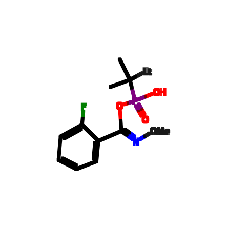 CCC(C)(C)P(=O)(O)OC(=NOC)c1ccccc1F